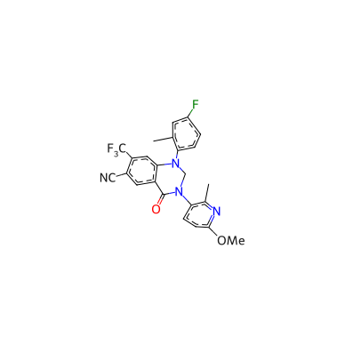 COc1ccc(N2CN(c3ccc(F)cc3C)c3cc(C(F)(F)F)c(C#N)cc3C2=O)c(C)n1